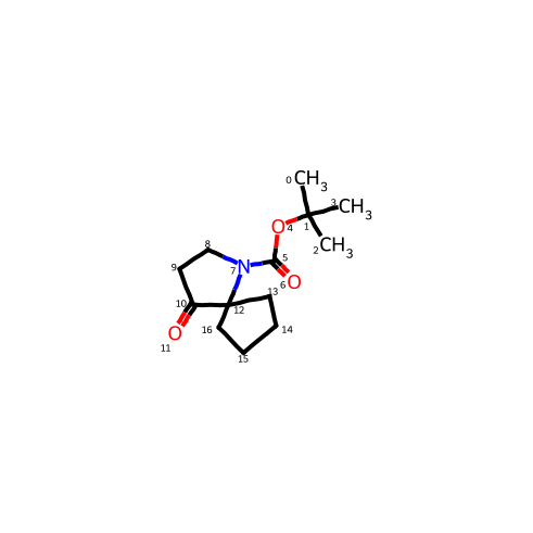 CC(C)(C)OC(=O)N1CCC(=O)C12CCCC2